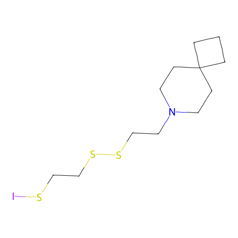 ISCCSSCCN1CCC2(CCC2)CC1